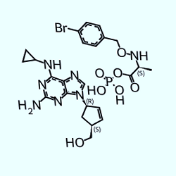 C[C@H](NOCc1ccc(Br)cc1)C(=O)OP(=O)(O)O.Nc1nc(NC2CC2)c2ncn([C@H]3C=C[C@@H](CO)C3)c2n1